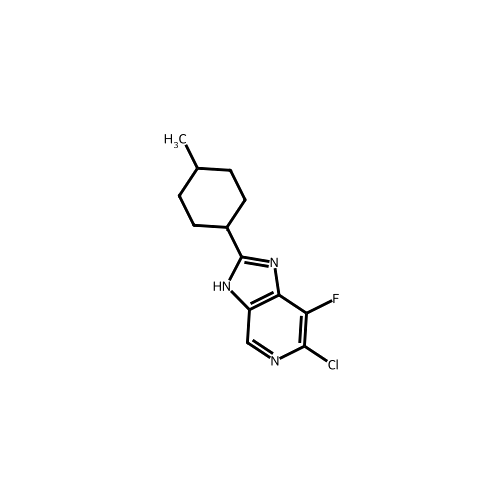 CC1CC[C](c2nc3c(F)c(Cl)ncc3[nH]2)CC1